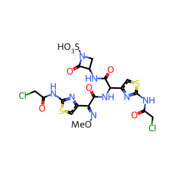 CON=C(C(=O)NC(C(=O)NC1CN(S(=O)(=O)O)C1=O)c1csc(NC(=O)CCl)n1)c1csc(NC(=O)CCl)n1